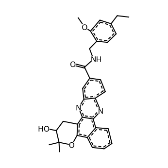 CCc1ccc(CNC(=O)c2ccc3nc4c(nc3c2)c2c(c3ccccc34)OC(C)(C)C(O)C2)c(OC)c1